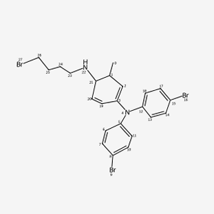 CC1C=C(N(c2ccc(Br)cc2)c2ccc(Br)cc2)C=CC1NCCCCBr